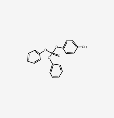 O=P(Oc1ccccc1)(Oc1ccccc1)Oc1ccc(O)cc1